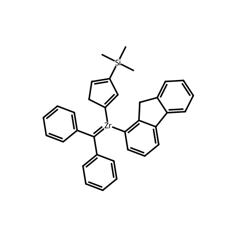 C[Si](C)(C)C1=CC[C]([Zr](=[C](c2ccccc2)c2ccccc2)[c]2cccc3c2Cc2ccccc2-3)=C1